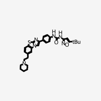 CC(C)(C)c1cc(NC(=O)Nc2ccc(-c3cn4c(n3)sc3ccc(CCN5CCCCC5)cc34)cc2)no1